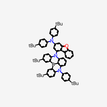 CC(C)(C)c1ccc(N(c2ccc(C(C)(C)C)cc2)c2cc(N3c4ccc(C(C)(C)C)cc4B4c5cc(C(C)(C)C)ccc5N(c5ccc(C(C)(C)C)cc5)c5cccc3c54)c3c(c2)oc2ccccc23)cc1